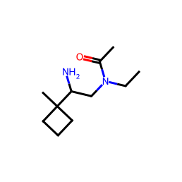 CCN(CC(N)C1(C)CCC1)C(C)=O